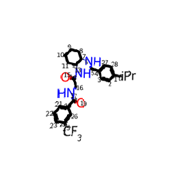 CC(C)c1ccc(CN[C@H]2CCCC[C@H]2NC(=O)CNC(=O)c2cccc(C(F)(F)F)c2)cc1